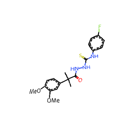 COc1ccc(C(C)(C)C(=O)NNC(=S)Nc2ccc(F)cc2)cc1OC